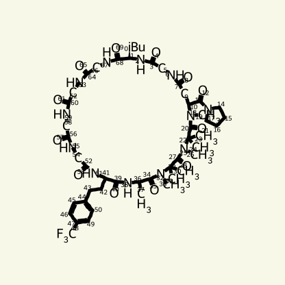 CC[C@H](C)C1NC(=O)CNC(=O)CC(C(=O)N2CCCC2)N(C)C(=O)C(C)(C)N(C)C(=O)C(C)(C)N(C)C(=O)C(C)NC(=O)C(CCc2ccc(C(F)(F)F)cc2)NC(=O)CNC(=O)CNC(=O)CNC(=O)CNC1=O